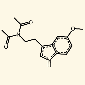 COc1ccc2[nH]cc(CCN(C(C)=O)C(C)=O)c2c1